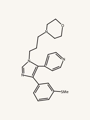 CSc1cccc(-c2ncn(CCCN3CCOCC3)c2-c2ccncc2)c1